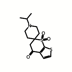 CC(C)N1CCC2(CC1)CC(=O)c1ccsc1S2(=O)=O